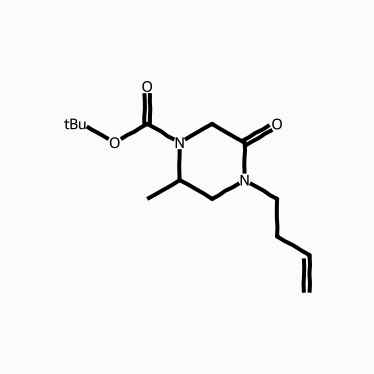 C=CCCN1CC(C)N(C(=O)OC(C)(C)C)CC1=O